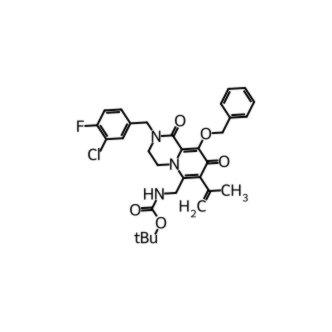 C=C(C)c1c(CNC(=O)OC(C)(C)C)n2c(c(OCc3ccccc3)c1=O)C(=O)N(Cc1ccc(F)c(Cl)c1)CC2